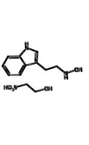 O=S(=O)(O)CCO.ONCCc1c[nH]c2ccccc12